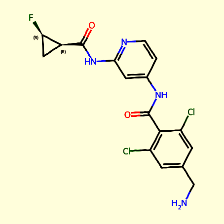 NCc1cc(Cl)c(C(=O)Nc2ccnc(NC(=O)[C@H]3C[C@H]3F)c2)c(Cl)c1